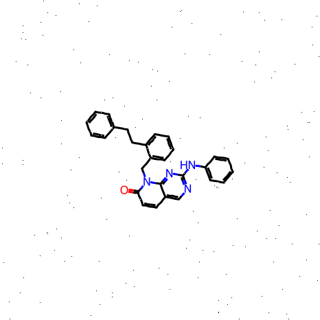 O=c1ccc2cnc(Nc3ccccc3)nc2n1Cc1ccccc1CCc1ccccc1